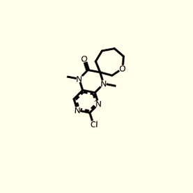 CN1C(=O)C2(CCCCOC2)N(C)c2nc(Cl)ncc21